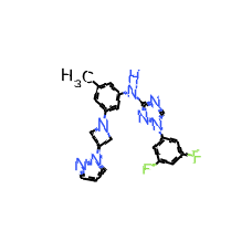 Cc1cc(Nc2ncn(-c3cc(F)cc(F)c3)n2)cc(N2CC(n3cccn3)C2)c1